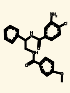 COc1ccc(C(=O)NCC(NC(=O)c2ccc(Cl)c(N)c2)c2ccccc2)cc1